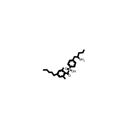 CCCCCc1cc(C)c(C(=O)P(=O)(O)c2ccc(CC(N)CCC)cc2)c(C)c1